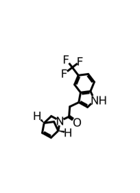 O=C(Cc1c[nH]c2ccc(C(F)(F)F)cc12)N1C[C@H]2C=C[C@@H]1C2